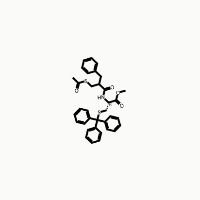 COC(=O)[C@H](CSC(c1ccccc1)(c1ccccc1)c1ccccc1)NC(=O)C(CSC(C)=O)Cc1ccccc1